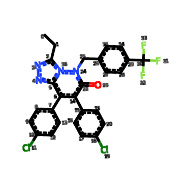 CCc1nnc2c(-c3ccc(Cl)cc3)c(-c3ccc(Cl)cc3)c(=O)n(Cc3ccc(C(F)(F)F)cc3)n12